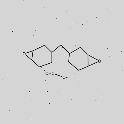 C1CC2OC2CC1CC1CCC2OC2C1.O=CO